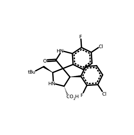 CC(C)(C)C[C@@H]1N[C@@H](C(=O)O)[C@H](c2cccc(Cl)c2F)C12C(=O)Nc1c2ccc(Cl)c1F